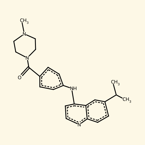 CC(C)c1ccc2nccc(Nc3ccc(C(=O)N4CCN(C)CC4)cc3)c2c1